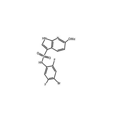 COc1ccc2c(S(=O)(=O)Nc3cc(F)c(Br)cc3F)c[nH]c2n1